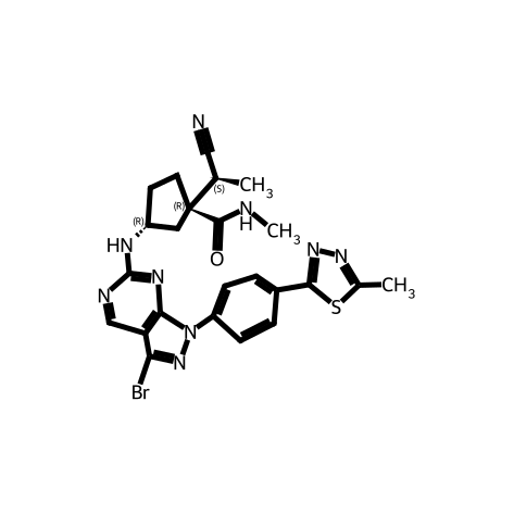 CNC(=O)[C@]1([C@H](C)C#N)CC[C@@H](Nc2ncc3c(Br)nn(-c4ccc(-c5nnc(C)s5)cc4)c3n2)C1